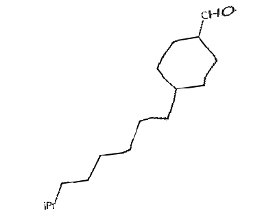 CC(C)CCCCCCC1CCC([C]=O)CC1